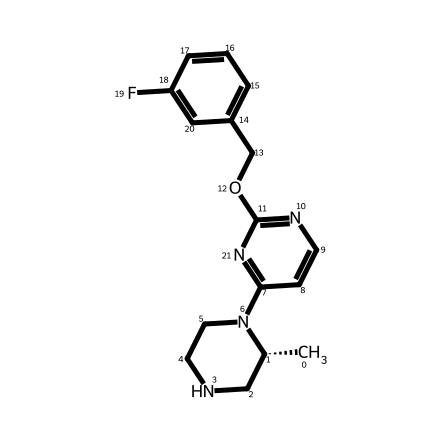 C[C@@H]1CNCCN1c1ccnc(OCc2cccc(F)c2)n1